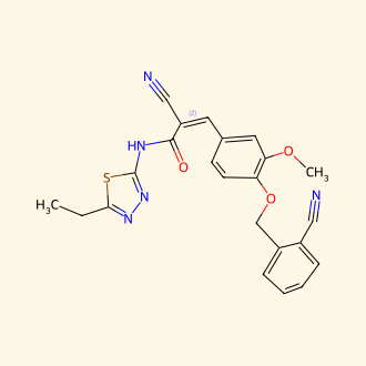 CCc1nnc(NC(=O)/C(C#N)=C\c2ccc(OCc3ccccc3C#N)c(OC)c2)s1